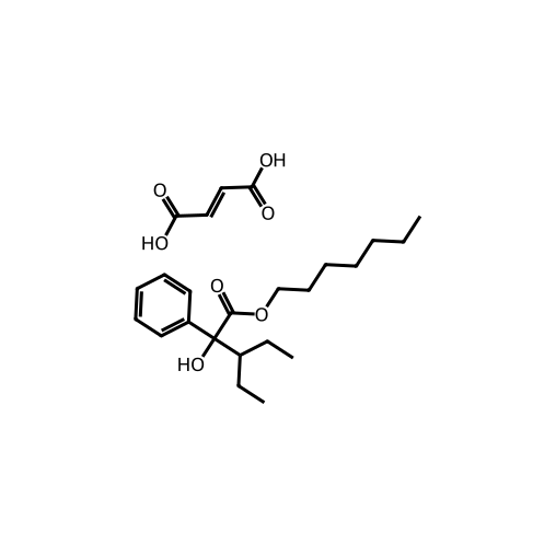 CCCCCCCOC(=O)C(O)(c1ccccc1)C(CC)CC.O=C(O)C=CC(=O)O